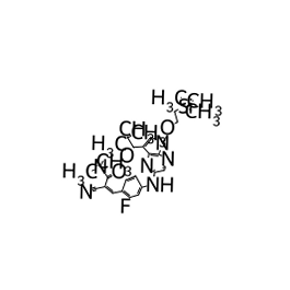 CN(C)C(=O)/C(C#N)=C\c1ccc(Nc2cnc3c(n2)c(C(=O)C(C)(C)C)cn3COCC[Si](C)(C)C)cc1F